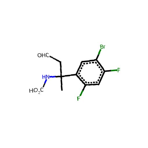 CC(CC=O)(NC(=O)O)c1cc(Br)c(F)cc1F